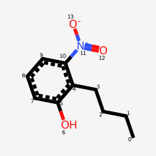 CCCCc1c(O)cccc1[N+](=O)[O-]